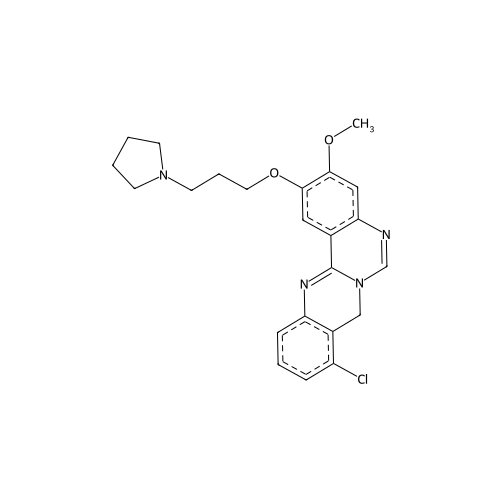 COc1cc2c(cc1OCCCN1CCCC1)C1=Nc3cccc(Cl)c3CN1C=N2